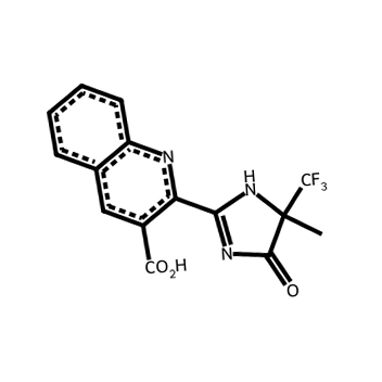 CC1(C(F)(F)F)NC(c2nc3ccccc3cc2C(=O)O)=NC1=O